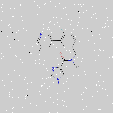 CC(C)N(Cc1ccc(F)c(-c2cncc(C(F)(F)F)c2)c1)C(=O)c1cn(C)cn1